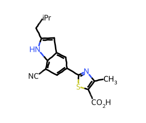 Cc1nc(-c2cc(C#N)c3[nH]c(CC(C)C)cc3c2)sc1C(=O)O